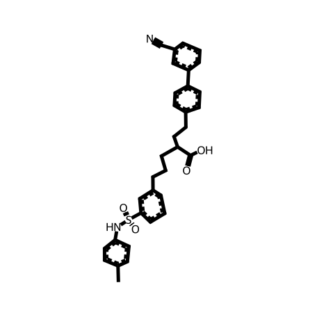 Cc1ccc(NS(=O)(=O)c2cccc(CCCC(CCc3ccc(-c4cccc(C#N)c4)cc3)C(=O)O)c2)cc1